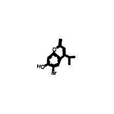 C=C1C=C(C(C)C)c2cc(Br)c(O)cc2O1